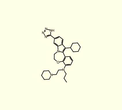 CCCN(CCN1CCCCC1)c1cccc2c1OCCn1c-2c(C2CCCCC2)c2ccc(-c3nnn[nH]3)cc21